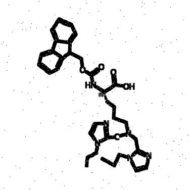 CCCn1ccnc1CN(CCCC[C@H](NC(=O)OCC1c2ccccc2-c2ccccc21)C(=O)O)Cc1nccn1CCC